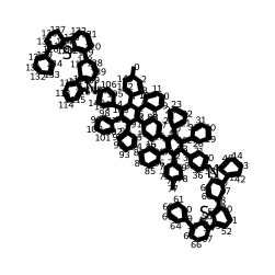 Cc1ccc(-c2c(-c3ccccc3)c(-c3ccc(-c4c(-c5ccccc5)c(-c5ccccc5)c(-c5ccc(-n6c7c(c8ccccc86)CC(c6cccc8c9c(sc68)C(c6ccccc6)=CCC9)C=C7)cc5)c(-c5ccc(C)cc5)c4-c4ccccc4)cc3)c(-c3ccccc3)c(-c3ccccc3)c2-c2ccc(-n3c4c(c5ccccc53)CC(c3cccc5c6c(sc35)C(c3ccccc3)=CCC6)C=C4)cc2)cc1